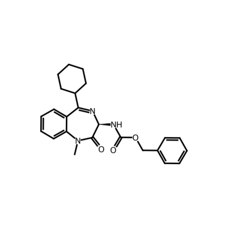 CN1C(=O)[C@H](NC(=O)OCc2ccccc2)N=C(C2CCCCC2)c2ccccc21